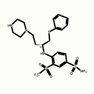 NS(=O)(=O)c1ccc(N[C@H](CCN2CCNCC2)CSc2ccccc2)c(S(=O)(=O)C(F)(F)F)c1